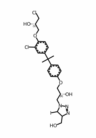 CC(C)(c1ccc(OC[C@H](O)CN2N=NC(CO)C2I)cc1)c1ccc(OC[C@H](O)CCl)c(Cl)c1